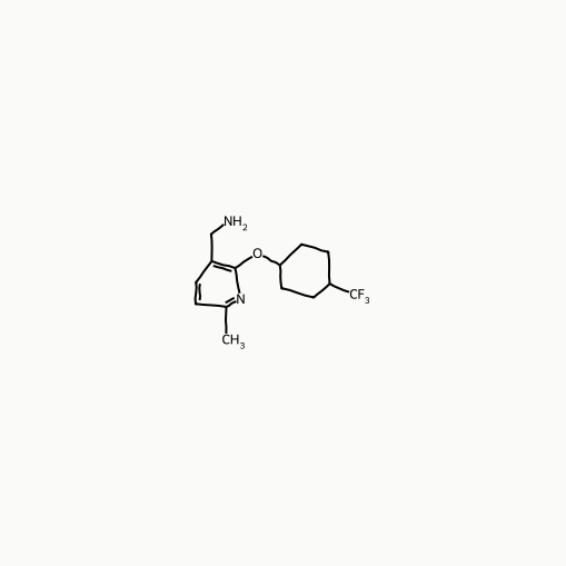 Cc1ccc(CN)c(OC2CCC(C(F)(F)F)CC2)n1